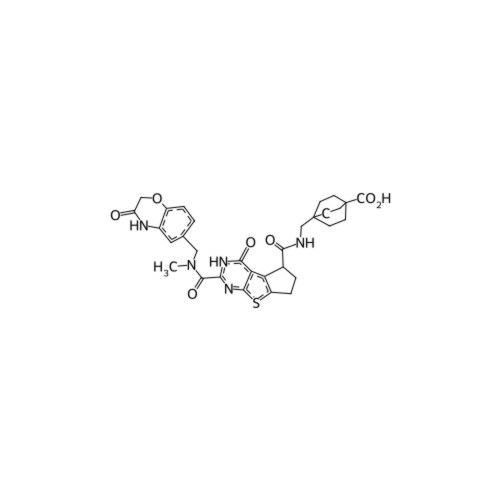 CN(Cc1ccc2c(c1)NC(=O)CO2)C(=O)c1nc2sc3c(c2c(=O)[nH]1)C(C(=O)NCC12CCC(C(=O)O)(CC1)CC2)CC3